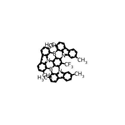 Cc1ccc2c3ccc(C)c4c3n(c2c1)-c1c2c3c5c(c1C(F)(F)F)-n1c6cc(C)ccc6c6ccc(C)c(c61)B5c1c(C)ccc5c6ccc(C)c(c6n-3c15)B24